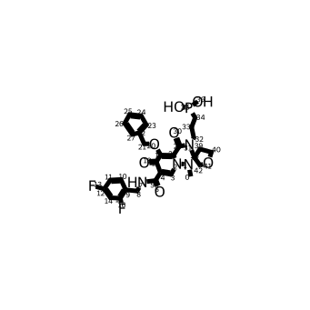 CN1n2cc(C(=O)NCc3ccc(F)cc3F)c(=O)c(OCc3ccccc3)c2C(=O)N(CCCP(O)O)C12CCOC2